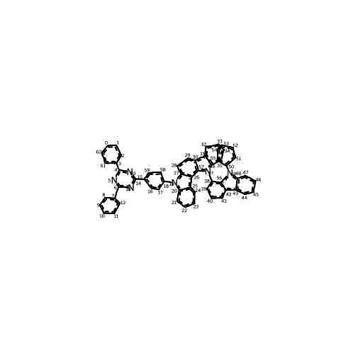 c1ccc(-c2nc(-c3ccccc3)nc(-c3ccc(-n4c5ccccc5c5c4ccc4c6ccccc6n(-c6cccc7c8ccccc8n(-c8ccccc8)c67)c45)cc3)n2)cc1